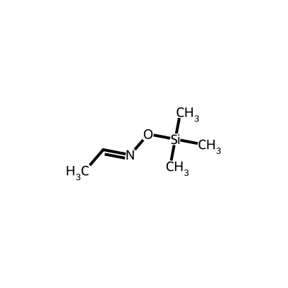 CC=NO[Si](C)(C)C